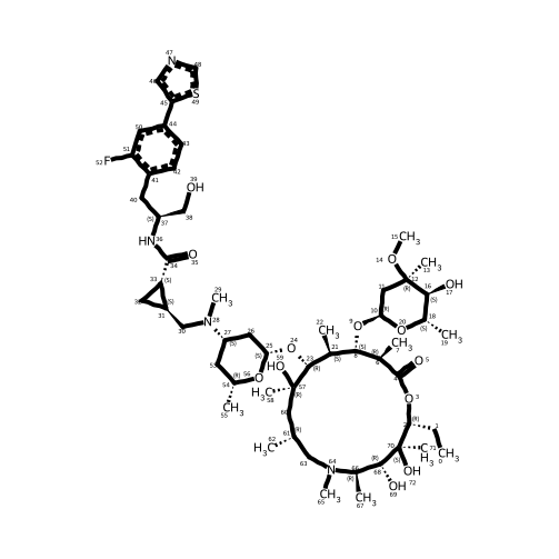 CC[C@H]1OC(=O)[C@H](C)[C@@H](O[C@H]2C[C@@](C)(OC)[C@@H](O)[C@H](C)O2)[C@H](C)[C@@H](O[C@H]2C[C@@H](N(C)C[C@H]3C[C@@H]3C(=O)N[C@H](CO)Cc3ccc(-c4cncs4)cc3F)C[C@@H](C)O2)[C@](C)(O)C[C@@H](C)CN(C)[C@H](C)[C@@H](O)[C@]1(C)O